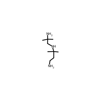 CC(C)(N)CNC(C)(C)CCN